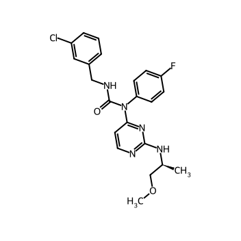 COC[C@H](C)Nc1nccc(N(C(=O)NCc2cccc(Cl)c2)c2ccc(F)cc2)n1